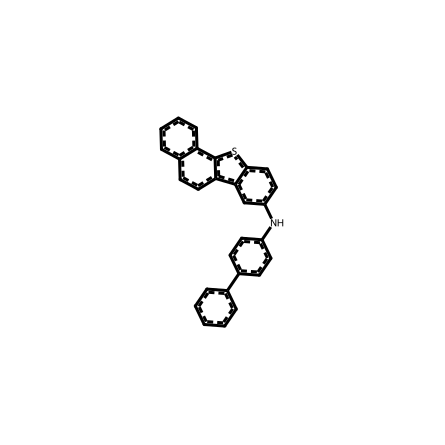 c1ccc(-c2ccc(Nc3ccc4sc5c6ccccc6ccc5c4c3)cc2)cc1